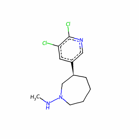 CNN1CCCC[C@H](c2cnc(Cl)c(Cl)c2)C1